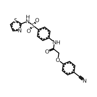 N#Cc1ccc(OCC(=O)Nc2ccc(S(=O)(=O)Nc3nccs3)cc2)cc1